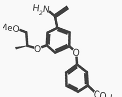 C=C(N)c1cc(Oc2cccc(C(=O)O)c2)cc(O[C@@H](C)COC)c1